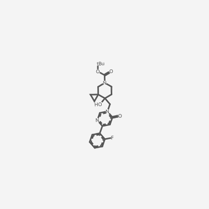 CC(C)(C)OC(=O)N1CCC(O)(Cn2cnc(-c3ccccc3F)cc2=O)C2(CC2)C1